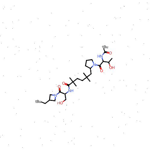 CC(O)C(NC(=O)C(C)(C)C)C(=O)N1CCCC1CC(C)(C)CCC(C)(C)C(=O)NC(CO)C(=O)N1CC(CC(C)(C)C)C1